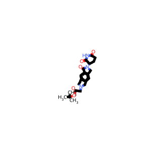 CC(C)(C)OC(=O)CN1Cc2cc3c(cc2C1)C(=O)N(C1CCC(=O)NC1=O)C3